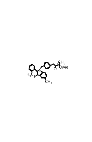 CON(C)C(=O)Cc1ccc(Cn2c(-c3ccccc3C)c(F)c3cc(C)ccc32)cc1